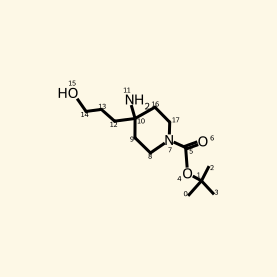 CC(C)(C)OC(=O)N1CCC(N)(CCCO)CC1